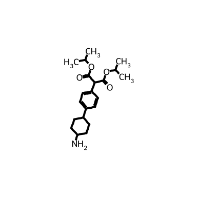 CC(C)OC(=O)C(C(=O)OC(C)C)c1ccc(C2CCC(N)CC2)cc1